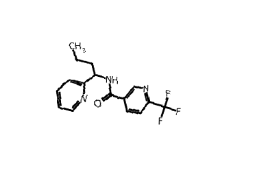 CCCC(NC(=O)c1ccc(C(F)(F)F)nc1)c1ccccn1